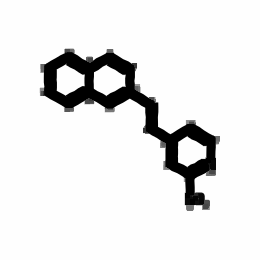 O=[N+]([O-])c1cc(C=Cc2ccc3ccccc3c2)ccn1